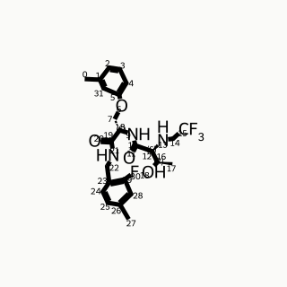 Cc1cccc(OC[C@H](NC(=O)[C@@H](NCC(F)(F)F)[C@@H](C)O)C(=O)NCc2ccc(C)cc2F)c1